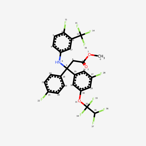 COC(=O)CC(Nc1ccc(F)c(C(F)(F)F)c1)(c1ccc(F)cc1)c1cc(F)cc(OC(F)(F)C(F)F)c1